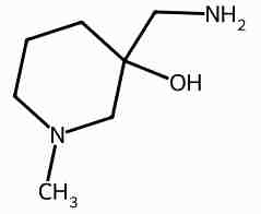 CN1CCCC(O)(CN)C1